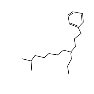 CCCN(CCCCCC(C)C)CCCc1ccccc1